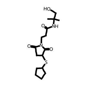 CC(C)(CO)NC(=O)CCN1C(=O)CC(SC2CCCC2)C1=O